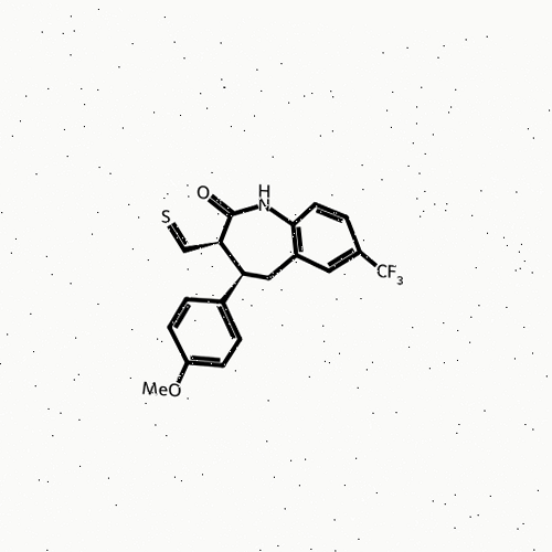 COc1ccc([C@@H]2Cc3cc(C(F)(F)F)ccc3NC(=O)[C@@H]2C=S)cc1